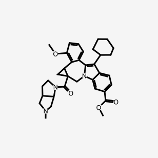 COC(=O)c1ccc2c(C3CCCCC3)c3n(c2c1)CC1(C(=O)N2CCC4CN(C)CC42)CC1c1c(OC)cccc1-3